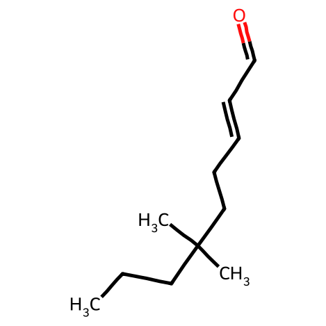 CCCC(C)(C)CCC=CC=O